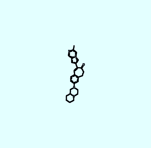 Cc1cn2cc(C3=Cc4ccc(N5CCN6CCCCC6C5)cc4CCC3=O)cc2cn1